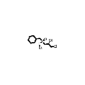 CCOP(=O)(CC1CCCCC1)C[C@H](O)CCl